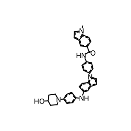 Cn1ccc2cc(C(=O)Nc3ccc(-n4ccc5cc(Nc6ccc(N7CCC(O)CC7)cc6)ccc54)cc3)ccc21